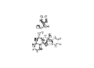 O=C(CSc1nc2nccnc2c(=O)n1CC(F)(F)c1ccccc1)Nc1nccs1